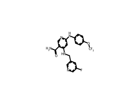 NC(=O)c1cnc(Nc2ccc(OC(F)(F)F)cc2)cc1NCc1cncc(F)c1